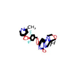 Cc1cc(Oc2c(F)cc(COc3cc4n(c(=O)n3)C[C@@H]3COCCN43)cc2F)ccn1